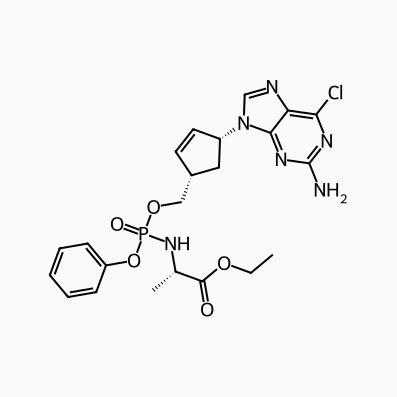 CCOC(=O)[C@H](C)NP(=O)(OC[C@@H]1C=C[C@H](n2cnc3c(Cl)nc(N)nc32)C1)Oc1ccccc1